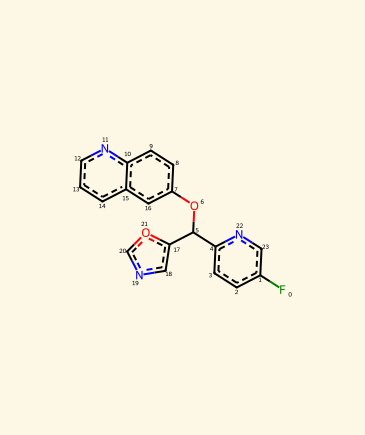 Fc1ccc(C(Oc2ccc3ncccc3c2)c2cnco2)nc1